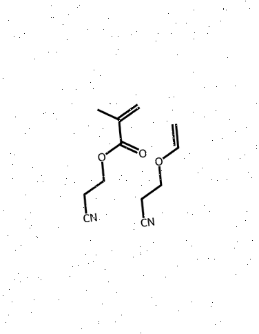 C=C(C)C(=O)OCCC#N.C=COCCC#N